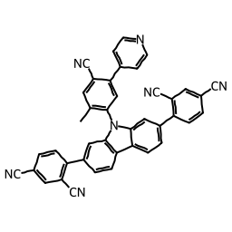 Cc1cc(C#N)c(-c2ccncc2)cc1-n1c2cc(-c3ccc(C#N)cc3C#N)ccc2c2ccc(-c3ccc(C#N)cc3C#N)cc21